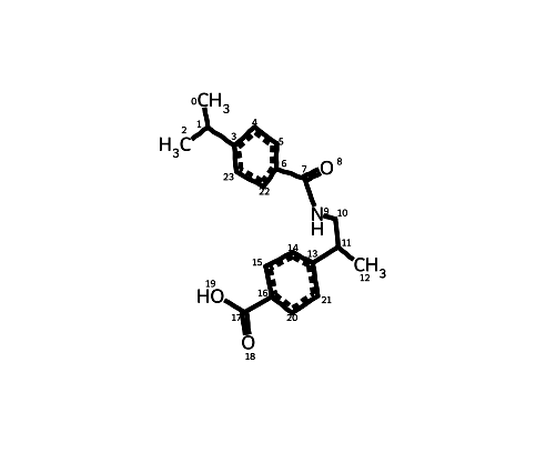 CC(C)c1ccc(C(=O)NCC(C)c2ccc(C(=O)O)cc2)cc1